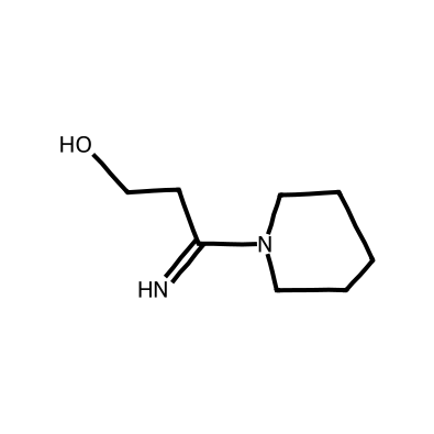 N=C(CCO)N1CCCCC1